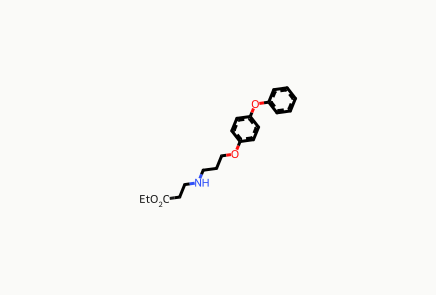 CCOC(=O)CCNCCCOc1ccc(Oc2ccccc2)cc1